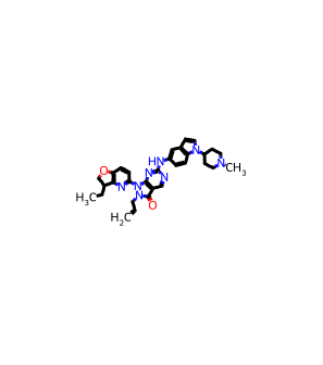 C=CCn1c(=O)c2cnc(Nc3ccc4c(ccn4C4CCN(C)CC4)c3)nc2n1-c1ccc2c(n1)C(CC)CO2